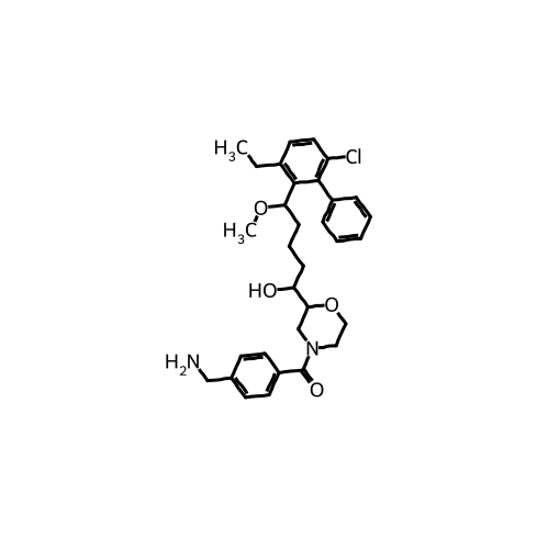 CCc1ccc(Cl)c(-c2ccccc2)c1C(CCCC(O)C1CN(C(=O)c2ccc(CN)cc2)CCO1)OC